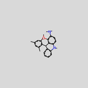 COc1c(N(C)C)ccc2c1C(c1c(C)cc(C)cc1C)c1ccccc1N2C